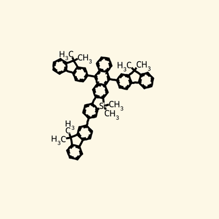 CC1(C)c2ccccc2-c2ccc(-c3ccc4c(c3)[Si](C)(C)c3cc5c(-c6ccc7c(c6)C(C)(C)c6ccccc6-7)c6ccccc6c(-c6ccc7c(c6)C(C)(C)c6ccccc6-7)c5cc3-4)cc21